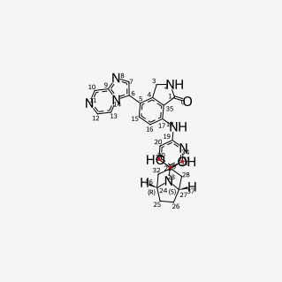 O=C1NCc2c(-c3cnc4cnccn34)ccc(Nc3ccc(N4[C@@H]5CC[C@H]4CC(O)(O)C5)cn3)c21